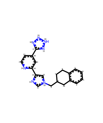 c1ccc2c(c1)CCC(Cn1cnc(-c3cc(-c4nn[nH]n4)ccn3)c1)C2